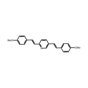 COc1ccc(C=Cc2ccc(C=Cc3ccc(OC)cc3)nc2)cc1